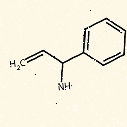 C=CC([NH])c1ccccc1